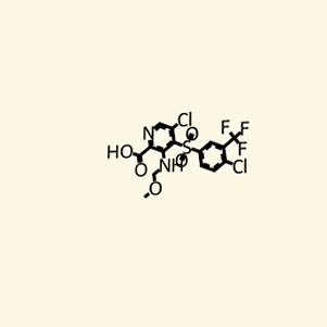 COCNc1c(C(=O)O)ncc(Cl)c1S(=O)(=O)c1ccc(Cl)c(C(F)(F)F)c1